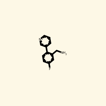 NCc1cc(F)ccc1-c1c[c]cnc1